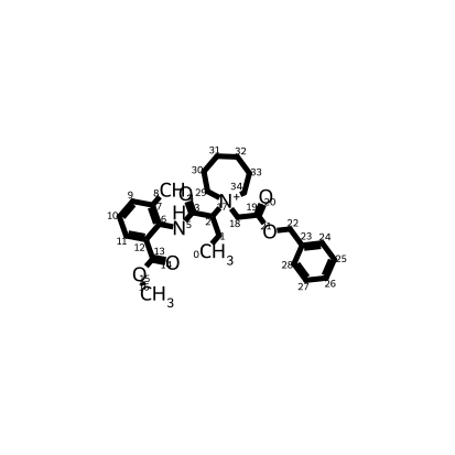 CCC(C(=O)Nc1c(C)cccc1C(=O)OC)[N+]1(CC(=O)OCc2ccccc2)CCCCCC1